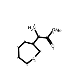 COC(=O)C(N)C1CCCCCC1